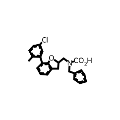 Cc1ccc(Cl)cc1-c1cccc2c1OC(CN(Cc1ccccc1)C(=O)O)C2